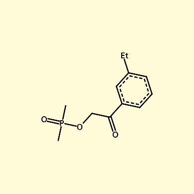 CCc1cccc(C(=O)COP(C)(C)=O)c1